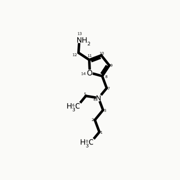 CCCCN(CC)Cc1ccc(CN)o1